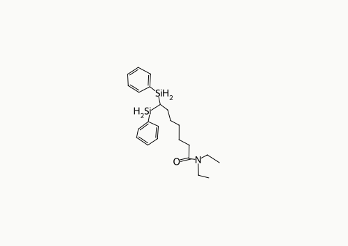 CCN(CC)C(=O)CCCCCC([SiH2]c1ccccc1)[SiH2]c1ccccc1